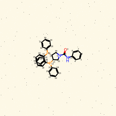 O=C(Nc1ccccc1)N1C[C@@H](P(c2ccccc2)c2ccccc2)[C@H](P(c2ccccc2)c2ccccc2)C1